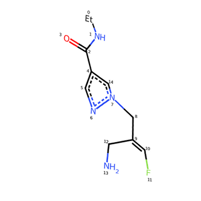 CCNC(=O)c1cnn(C/C(=C/F)CN)c1